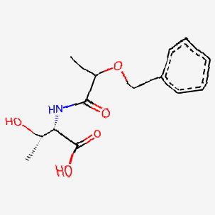 CC(OCc1ccccc1)C(=O)N[C@H](C(=O)O)[C@H](C)O